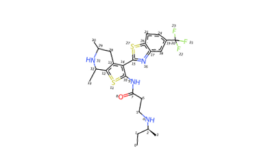 CC[C@H](C)NCCC(=O)Nc1sc2c(c1-c1nc3cc(C(F)(F)F)ccc3s1)CC(C)NC2C